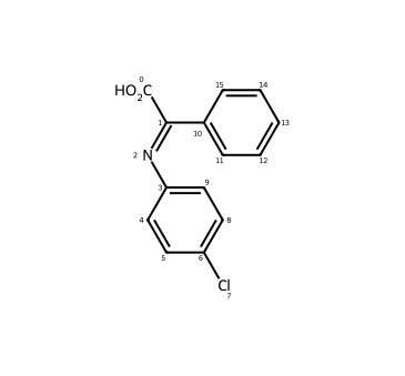 O=C(O)C(=Nc1ccc(Cl)cc1)c1ccccc1